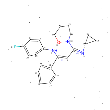 Fc1ccc(N/C(=C\C(=N\C2CC2)N2CCCCO2)c2ccccc2)cc1